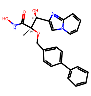 C[C@](OCc1ccc(-c2ccccc2)cc1)(C(=O)NO)[C@@H](O)c1cn2ccccc2n1